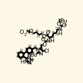 CCCCc1nc(Cl)c(COC(=O)NC(CCCCNC(=O)OC(C)(C)C)C(=O)OCCCCO[N+](=O)[O-])n1Cc1ccc(-c2ccccc2-c2nnn[nH]2)cc1